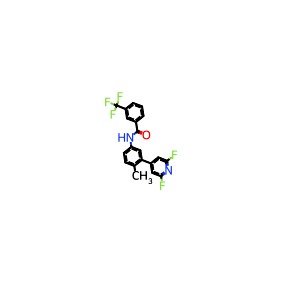 Cc1ccc(NC(=O)c2cccc(C(F)(F)F)c2)cc1-c1cc(F)nc(F)c1